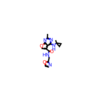 Cc1nc(NC2(C)CC2)c2c(C(=O)NCc3ncco3)coc2n1